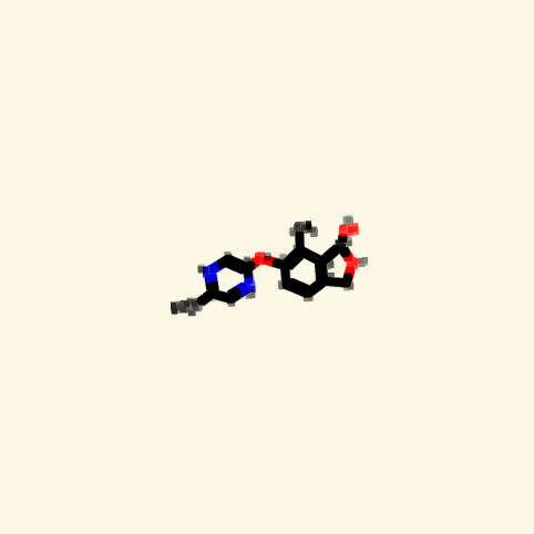 Cc1c(Oc2cnc(C(=O)O)cn2)ccc2c1B(O)OC2